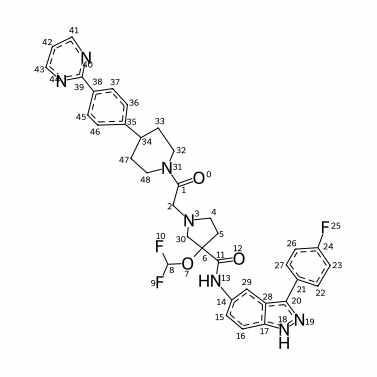 O=C(CN1CCC(OC(F)F)(C(=O)Nc2ccc3[nH]nc(-c4ccc(F)cc4)c3c2)C1)N1CCC(c2ccc(-c3ncccn3)cc2)CC1